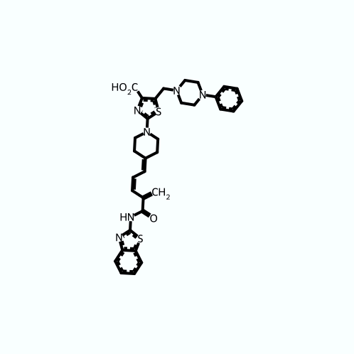 C=C(/C=C\C=C1CCN(c2nc(C(=O)O)c(CN3CCN(c4ccccc4)CC3)s2)CC1)C(=O)Nc1nc2ccccc2s1